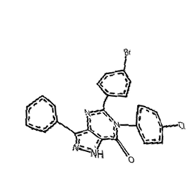 O=c1c2[nH]nc(-c3ccccc3)c2nc(-c2ccc(Br)cc2)n1-c1ccc(Cl)cc1